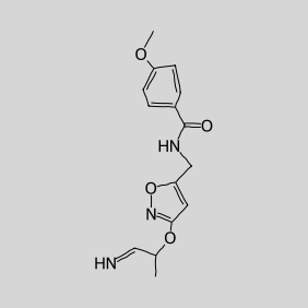 COc1ccc(C(=O)NCc2cc(OC(C)C=N)no2)cc1